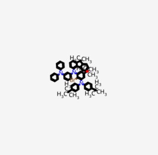 CC(C)(C)c1ccc(N(c2ccc(C(C)(C)C)cc2)c2cc(C(C)(C)C)cc(N(c3cccc(N(c4ccccc4)c4ccccc4)c3)c3cccc4c3-c3ccccc3C4(C)C)c2Br)cc1